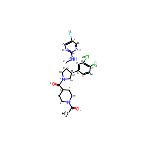 CC(=O)N1CCC(C(=O)N2C[C@H](CNc3ncc(F)cn3)[C@@H](c3ccc(Cl)c(Cl)c3)C2)CC1